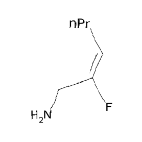 CCC/C=C(/F)CN